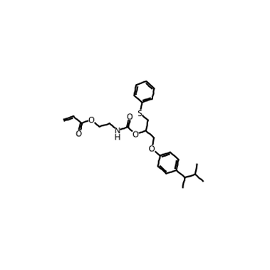 C=CC(=O)OCCNC(=O)OC(COc1ccc(C(C)C(C)C)cc1)CSc1ccccc1